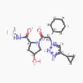 CNC(=O)C1CC(O)CN1C(=O)[C@H](C1CCCCC1)n1cc(C2CC2)nn1